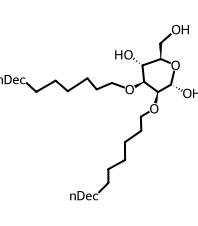 CCCCCCCCCCCCCCCCO[C@H]1[C@H](O)[C@@H](CO)O[C@H](O)[C@H]1OCCCCCCCCCCCCCCCC